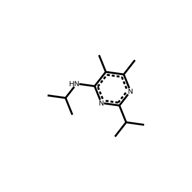 Cc1nc(C(C)C)nc(NC(C)C)c1C